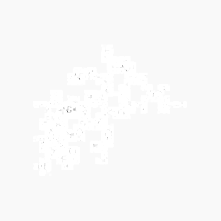 CCCC1CC(=O)C2=C(C1)NC(C)=C(C#N)C2c1cc(Br)c(OC(c2ccc[nH]2)S(=O)(=O)C(F)(F)F)c(OCC)c1